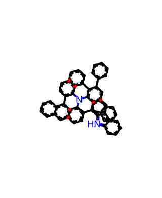 c1ccc(-c2cc3c(c(N(c4ccccc4-c4cccc5ccccc45)c4ccccc4-c4cccc5c4[nH]c4ccccc45)c2-c2ccccc2)Cc2ccccc2-3)cc1